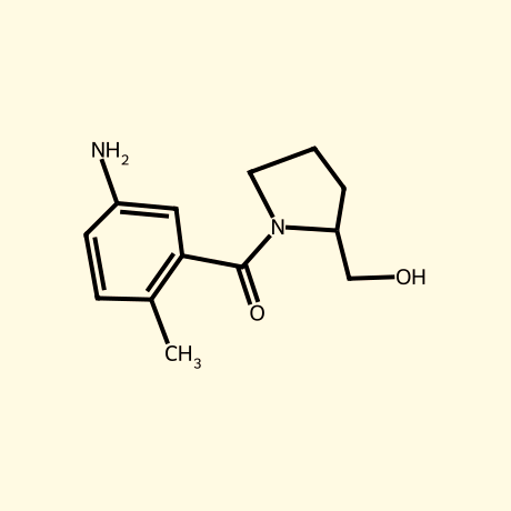 Cc1ccc(N)cc1C(=O)N1CCCC1CO